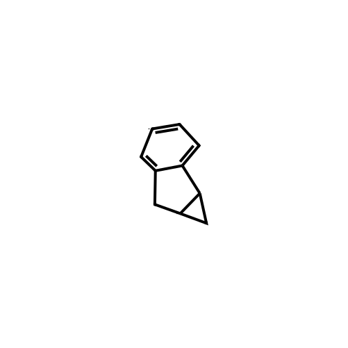 [c]1ccc2c(c1)C[C]1CC12